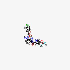 O=C(COc1ccc(Cl)c(F)c1)NC1CC2(NC(=O)c3ccc(OC(F)F)cn3)CCC1C2